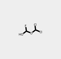 OC(F)OC(Cl)Cl